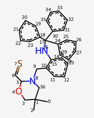 CC1(C)COC(C=S)N(Cc2ccccc2NC(c2ccccc2)(c2ccccc2)c2ccccc2)C1